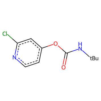 CC(C)(C)NC(=O)Oc1ccnc(Cl)c1